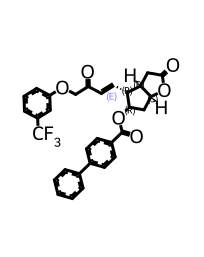 O=C(/C=C/[C@@H]1[C@H]2CC(=O)O[C@H]2C[C@H]1OC(=O)c1ccc(-c2ccccc2)cc1)COc1cccc(C(F)(F)F)c1